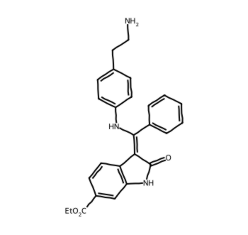 CCOC(=O)c1ccc2c(c1)NC(=O)C2=C(Nc1ccc(CCN)cc1)c1ccccc1